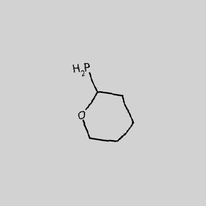 PC1CCCCO1